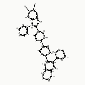 Cc1cc2nc(-c3ccc(-c4ccc(-c5nc6ccccc6nc5-c5ccccc5)cc4)cc3)n(-c3ccccc3)c2cc1C